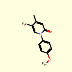 Cc1cc(=O)n(-c2ccc(OC(F)(F)F)cc2)cc1C(F)(F)F